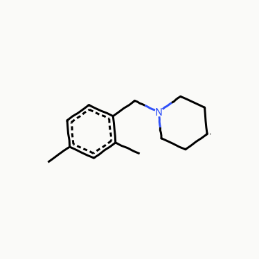 Cc1ccc(CN2CC[CH]CC2)c(C)c1